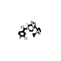 C[C@@H]1c2nnc(-c3ccnn3C3CC3)n2CCN1C(=O)c1ccc(F)c(Cl)c1